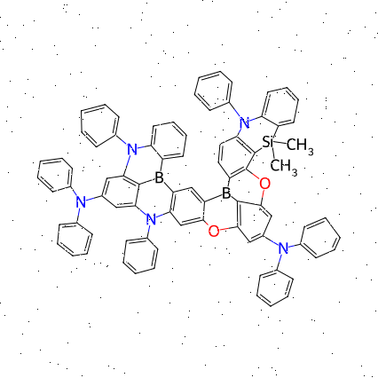 C[Si]1(C)c2ccccc2N(c2ccccc2)c2ccc3c(c21)Oc1cc(N(c2ccccc2)c2ccccc2)cc2c1B3c1cc3c(cc1O2)N(c1ccccc1)c1cc(N(c2ccccc2)c2ccccc2)cc2c1B3c1ccccc1N2c1ccccc1